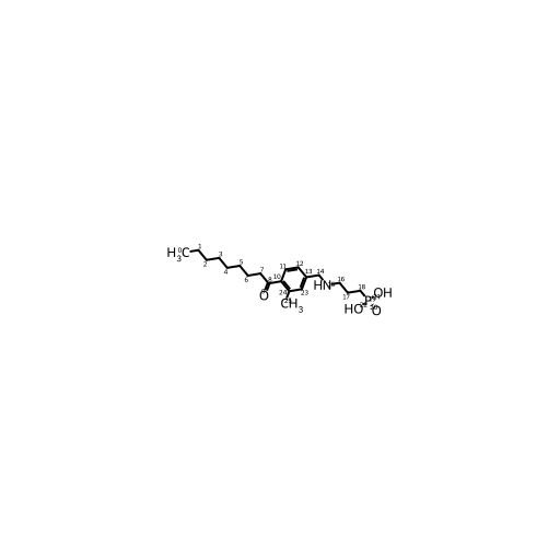 CCCCCCCCC(=O)c1ccc(CNCCCP(=O)(O)O)cc1C